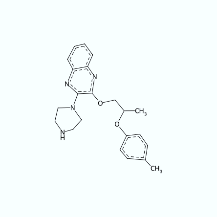 Cc1ccc(OC(C)COc2nc3ccccc3nc2N2CCNCC2)cc1